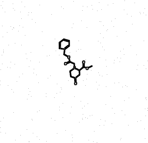 COC(=O)C1CC(=O)CCN1CC(=O)OCc1ccccc1